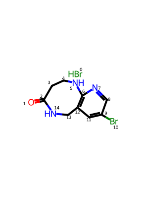 Br.O=C1CCNc2ncc(Br)cc2CN1